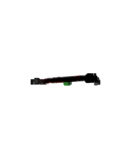 CCCCCCCCCCCCCCCCCCCCCCCCCCCCCCCCCCCCCCCCC[N+](C)(C)C.[Cl-]